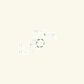 CC(=O)c1ccc2c(c1C)C(C)(C)C(C)O2